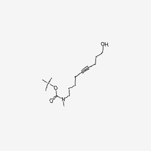 CN(CCCCC#CCCCO)C(=O)OC(C)(C)C